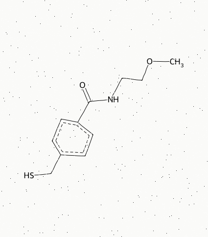 COCCNC(=O)c1ccc(CS)cc1